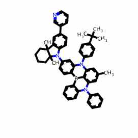 Cc1cc2c3c(c1)N(c1ccc(C(C)(C)C)cc1)c1cc(N4c5ccc(-c6cccnc6)cc5C5(C)CCCCC45C)ccc1B3c1ccccc1N2c1ccccc1